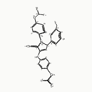 O=C1C(Nc2ccc(OC(F)F)cc2)=CC(c2cccc(F)c2)N1c1ccc(OC(F)F)cc1